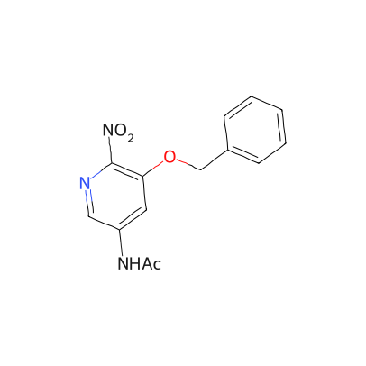 CC(=O)Nc1cnc([N+](=O)[O-])c(OCc2ccccc2)c1